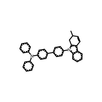 CC1C=Cc2c(n(-c3ccc(-c4ccc(N(c5ccccc5)c5ccccc5)cc4)cc3)c3ccccc23)C1